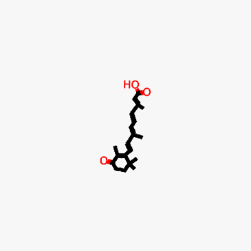 CC1=C(/C=C/C(C)=C/C=C/C(C)=C/C(=O)O)C(C)(C)CCC1=O